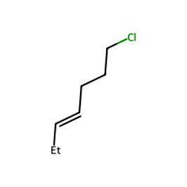 CCC=CCCCCl